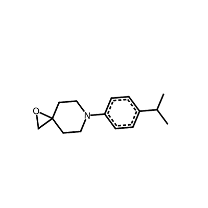 CC(C)c1ccc(N2CCC3(CC2)CO3)cc1